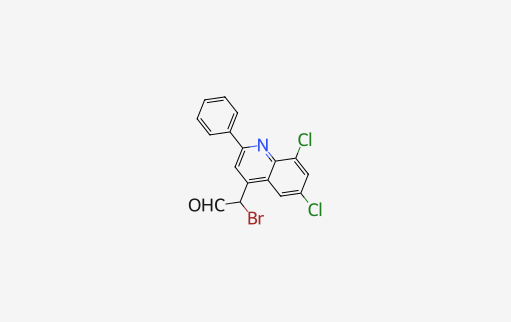 O=CC(Br)c1cc(-c2ccccc2)nc2c(Cl)cc(Cl)cc12